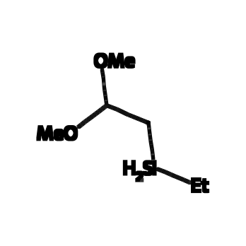 CC[SiH2]CC(OC)OC